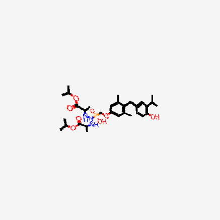 Cc1cc(OCP(=O)(O)N(NC(C)C(=O)OC(C)C)NC(C)C(=O)OC(C)C)cc(C)c1Cc1ccc(O)c(C(C)C)c1